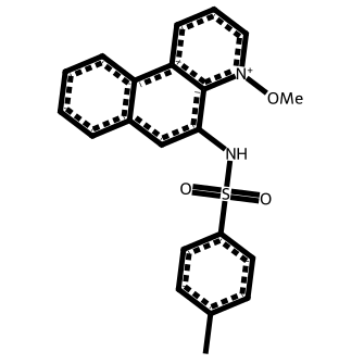 CO[n+]1cccc2c3ccccc3cc(NS(=O)(=O)c3ccc(C)cc3)c21